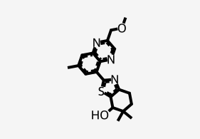 COCc1cnc2c(-c3nc4c(s3)C(O)C(C)(C)CC4)cc(C)cc2n1